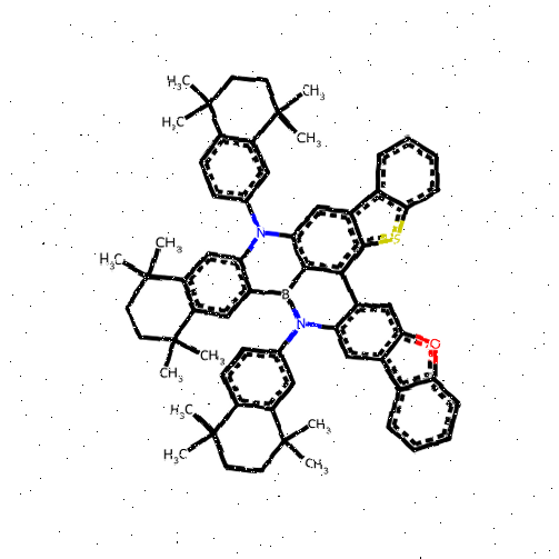 CC1(C)CCC(C)(C)c2cc(N3B4c5cc6c(cc5N(c5ccc7c(c5)C(C)(C)CCC7(C)C)c5cc7c(sc8ccccc87)c(c54)-c4cc5oc7ccccc7c5cc43)C(C)(C)CCC6(C)C)ccc21